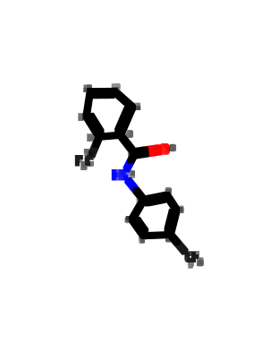 O=C(Nc1ccc(C(F)(F)F)cc1)c1ccccc1C(F)(F)F